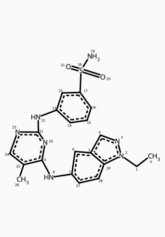 CCn1ncc2cc(Nc3nc(Nc4cccc(S(N)(=O)=O)c4)ncc3C)ccc21